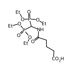 CCOP(=O)(OCC)C(NC(=O)CCCC(=O)O)P(=O)(OCC)OCC